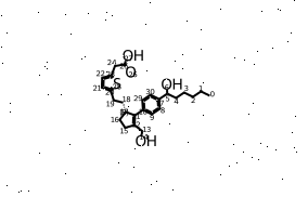 CCCCCC(O)c1ccc(C2=C(CO)CC[C@@H]2CCc2ccc(CC(=O)O)s2)cc1